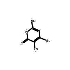 CC(C)(C)c1cc(C(C)(C)C)c(C#N)c(=O)[nH]1